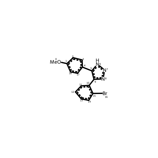 COc1ccc(-c2[nH]nnc2-c2ccccc2Br)cc1